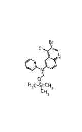 C[Si](C)(C)OCN(c1ccccc1)c1ccc2ncc(Br)c(Cl)c2c1